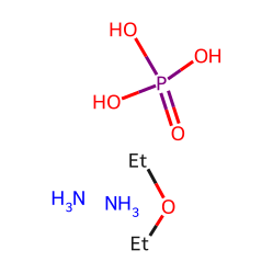 CCOCC.N.N.O=P(O)(O)O